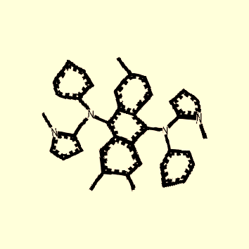 Cc1ccc2c(N(c3ccccc3)c3cccn3C)c3cc(C)c(C)cc3c(N(c3ccccc3)c3cccn3C)c2c1